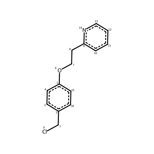 ClCc1ccc(OCCc2ccccn2)cc1